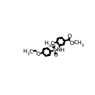 CCOc1ccc(S(=O)(=O)Nc2cc(C(=O)OC)ccc2C)cc1